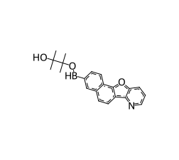 CC(C)(O)C(C)(C)OBc1ccc2c(ccc3c4ncccc4oc23)c1